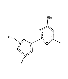 Cc1cc(-c2[c]c(C(C)(C)C)cc(C)c2)[c]c(C(C)(C)C)c1